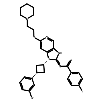 O=C(/N=c1\[nH]c2cnc(OCCN3CCCCC3)cc2n1[C@H]1C[C@@H](c2cccc(Br)c2)C1)c1ccc(F)cc1